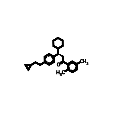 Cc1ccc(C)c(C(=O)C[C@@H](c2ccc(CCC3CC3)cc2)C2CCCCC2)c1